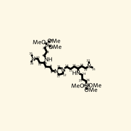 CO[Si](CCCNC(CCCN1CCN(CCCC(CCN(C)C)NCCC[Si](OC)(OC)OC)C1)CCN(C)C)(OC)OC